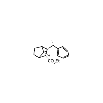 CCOC(=O)[C@@H]1C2CCC([C@H]2C)N1[C@H](C)c1ccccc1